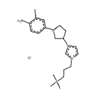 Cc1cc(N2CCC(n3cc[n+](CCC[Si](C)(C)C)c3)C2)ccc1N.[Cl-]